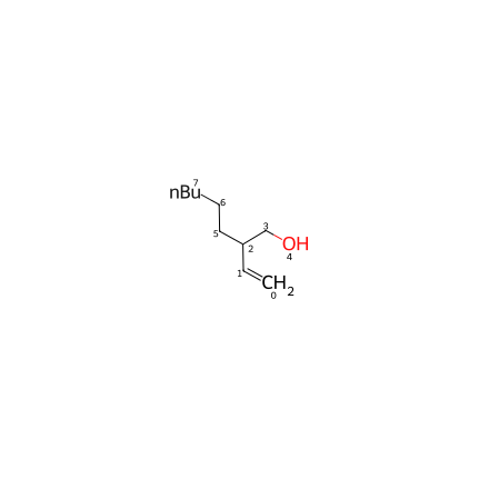 C=CC(CO)CCCCCC